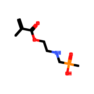 C=C(C)C(=O)OCCNCP(C)(=O)O